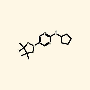 CC1(C)OB(c2cnc(NC3CCCC3)nc2)OC1(C)C